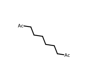 CC(=O)CCCCCCC(C)=O